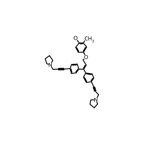 Cc1cc(OCC=C(c2ccc(C#CCN3CCCC3)cc2)c2ccc(C#CCN3CCCC3)cc2)ccc1[O]